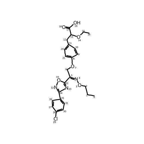 CCCON=C(COc1ccc(CC(OCC)C(=O)O)cc1)c1nc(-c2ccc(Cl)cc2)no1